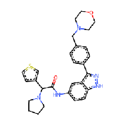 O=C(Nc1ccc2[nH]nc(-c3ccc(CN4CCOCC4)cc3)c2c1)C(c1ccsc1)N1CCCC1